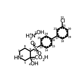 NO.O=C(O)C1(O)CNCCC1S(=O)(=O)c1ccc(-c2cccc(Cl)c2)cc1